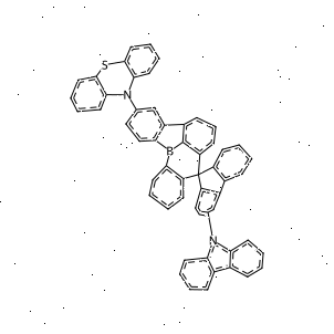 c1ccc2c(c1)Sc1ccccc1N2c1ccc2c(c1)-c1cccc3c1B2c1ccccc1C31c2ccccc2-c2cc(-n3c4ccccc4c4ccccc43)ccc21